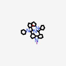 In1c2cccc3c2c2c1ccc1c4c(c5ccccc5n4-c4ccccc4)n(c12)c1c3c2ccccc2n1-c1ccccc1